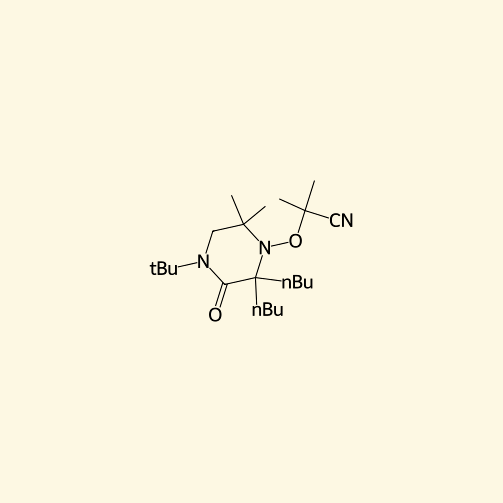 CCCCC1(CCCC)C(=O)N(C(C)(C)C)CC(C)(C)N1OC(C)(C)C#N